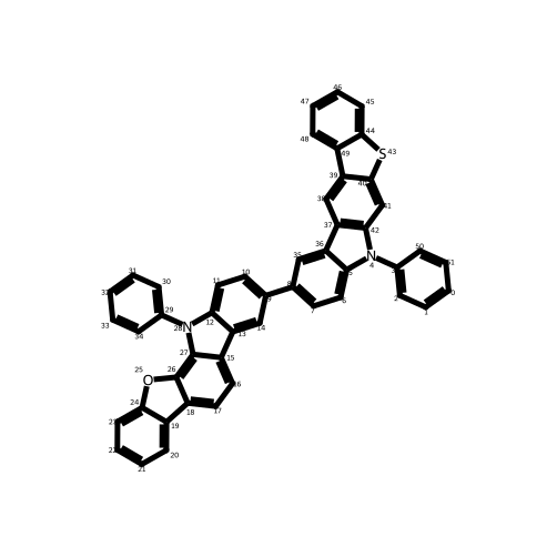 c1ccc(-n2c3ccc(-c4ccc5c(c4)c4ccc6c7ccccc7oc6c4n5-c4ccccc4)cc3c3cc4c(cc32)sc2ccccc24)cc1